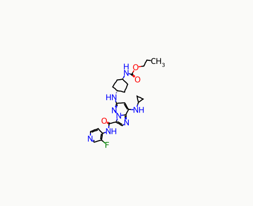 CCCOC(=O)N[C@H]1CC[C@H](Nc2cc(NC3CC3)c3ncc(C(=O)Nc4ccncc4F)n3n2)CC1